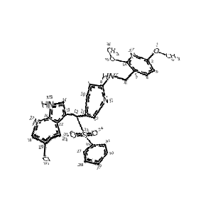 COc1ccc(CNc2ccc(C(c3c[nH]c4ncc(Cl)cc34)S(=O)(=O)c3ccccc3)cn2)c(OC)n1